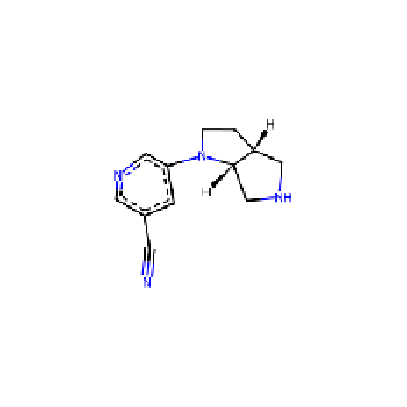 N#Cc1cncc(N2CC[C@@H]3CNC[C@@H]32)c1